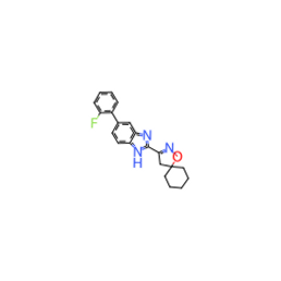 Fc1ccccc1-c1ccc2[nH]c(C3=NOC4(CCCCC4)C3)nc2c1